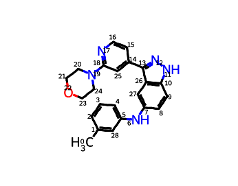 Cc1cccc(Nc2ccc3[nH]nc(-c4ccnc(N5CCOCC5)c4)c3c2)c1